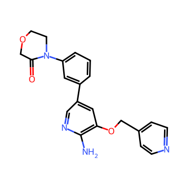 Nc1ncc(-c2cccc(N3CCOCC3=O)c2)cc1OCc1ccncc1